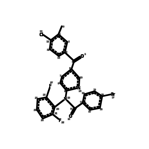 Cc1cc(C(=O)c2ccc(N(C(=O)c3ccc(Br)cc3)c3c(F)cccc3F)nc2)ccc1Cl